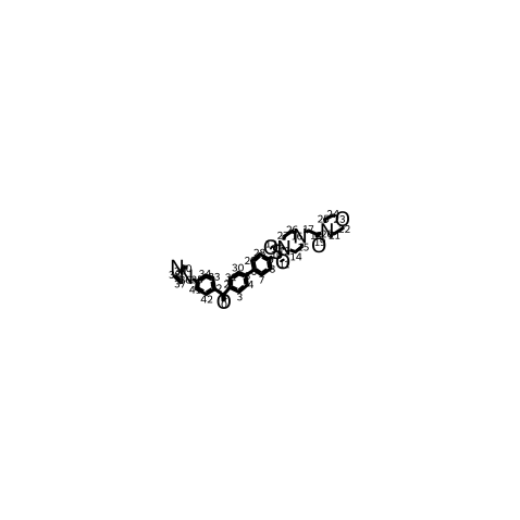 O=C(c1ccc(-c2ccc(S(=O)(=O)N3CCN(CC(=O)N4CCOCC4)CC3)cc2)cc1)c1ccc(-n2ccnc2)cc1